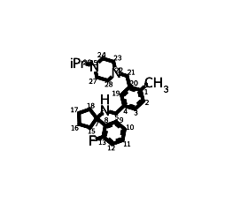 Cc1ccc(CNC2(c3ccccc3F)CCCC2)cc1CN1CCN(C(C)C)CC1